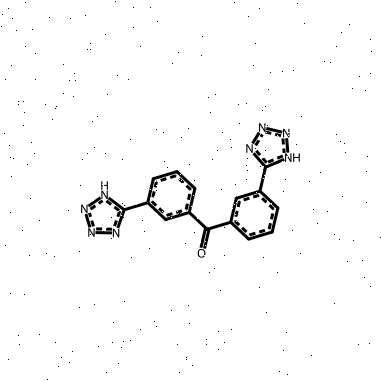 O=C(c1cccc(-c2nnn[nH]2)c1)c1cccc(-c2nnn[nH]2)c1